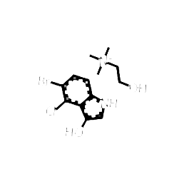 C[N+](C)(C)CCO.Oc1c[nH]c2ccc(Br)c(Cl)c12